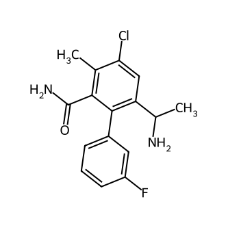 Cc1c(Cl)cc(C(C)N)c(-c2cccc(F)c2)c1C(N)=O